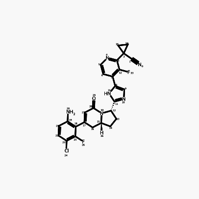 N#CC1(c2nccc(-c3cnc([C@@H]4CC[C@@H]5CC(c6c(N)ccc(Cl)c6F)=CC(=O)N54)[nH]3)c2F)CC1